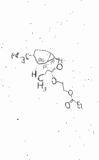 CCC(=O)OCCOC(=O)C(C)[C@@]12C3CCC(C)[C@@H]1[C@@H]32